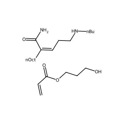 C=CC(=O)OCCCO.CCCCCCCCC(=CCCNCCCC)C(N)=O